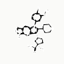 COc1cc(-n2c(C3CCOCC3)c([C@@H]3CC[C@@](C)(C(=O)O)C3)c3nc4[nH]ncc4cc32)ccc1F